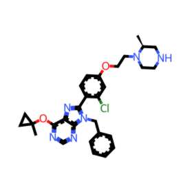 C[C@H]1CNCCN1CCOc1ccc(-c2nc3c(OC4(C)CC4)ncnc3n2Cc2ccccc2)c(Cl)c1